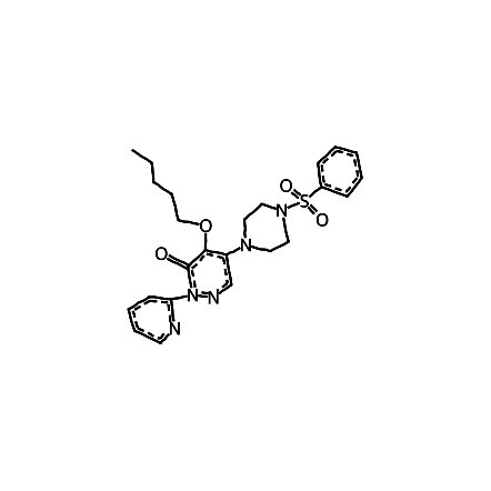 CCCCCOc1c(N2CCN(S(=O)(=O)c3ccccc3)CC2)cnn(-c2ccccn2)c1=O